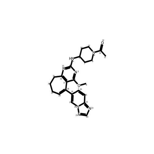 COc1nc(NC2CCN(C(C)=O)CC2)nc2c1C(c1ccc3ncnn3c1)=CCCC2